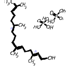 CC(C)=CCC/C(C)=C/CCC(C)=CCC/C(C)=C/CO.O=P(O)(O)O.O=P(O)(O)O